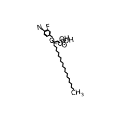 CCCCCCCCCCCCCCCCCCC[C@H](COP(=O)(O)O)OCc1ccc(C#N)c(F)c1